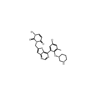 CCn1ccc(=O)n(Cc2cc3ncnc(-c4cc(Cl)cc(C)c4O[C@H]4CCCNC4)c3s2)c1=O